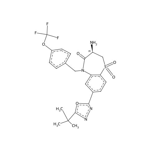 CC(C)(C)c1nnc(-c2ccc3c(c2)N(Cc2ccc(OC(F)(F)F)cc2)C(=O)[C@@H](N)CS3(=O)=O)o1